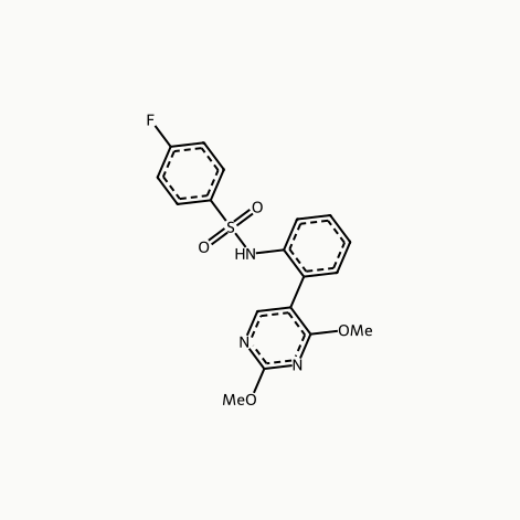 COc1ncc(-c2ccccc2NS(=O)(=O)c2ccc(F)cc2)c(OC)n1